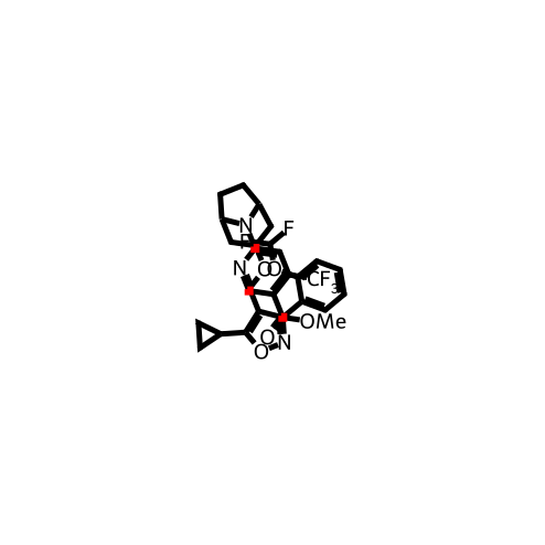 COC(=O)c1cnc(N2C3CCC2CC(OCc2c(-c4ccccc4OC(F)F)noc2C2CC2)C3)cc1C(F)(F)F